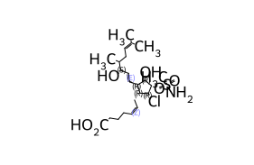 CC(C)=CCC(C)[C@H](O)/C=C/[C@@H]1[C@@H](C/C=C\CCCC(=O)O)[C@H](Cl)C[C@H]1O.CS(N)(=O)=O